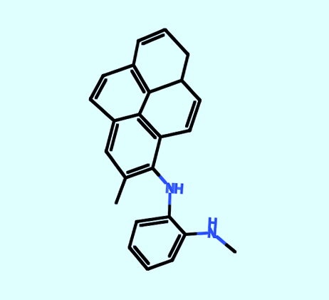 CNc1ccccc1Nc1c(C)cc2ccc3c4c2c1C=CC4CC=C3